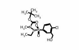 CCN(N(C)C(=O)OC(C)(C)C)S(=O)(=O)c1ccc(Cl)c(CO)c1